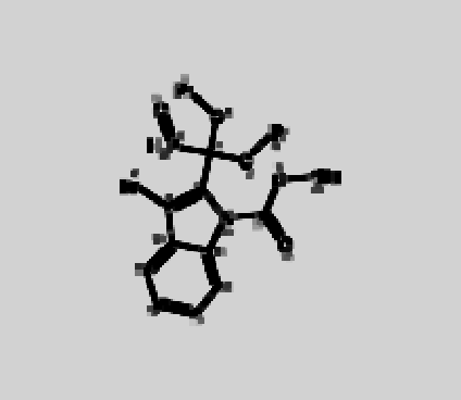 CC(C)OC(OC(C)C)([PH2]=O)c1c(Br)c2ccccc2n1C(=O)OC(C)(C)C